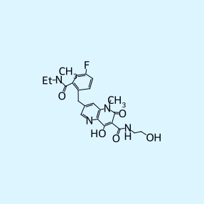 CCN(C)C(=O)c1cc(F)ccc1Cc1cnc2c(O)c(C(=O)NCCO)c(=O)n(C)c2c1